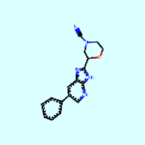 N#CN1CCOC(c2nc3cc(-c4ccccc4)cnc3[nH]2)C1